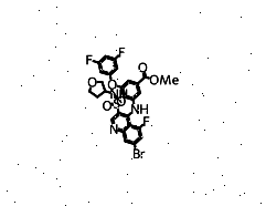 COC(=O)c1cc(Nc2c(S(=O)(=O)NC3CCOC3)cnc3cc(Br)cc(F)c23)cc(Oc2cc(F)cc(F)c2)c1